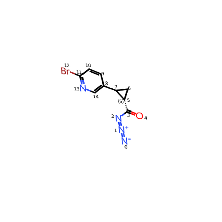 [N-]=[N+]=NC(=O)[C@H]1CC1c1ccc(Br)nc1